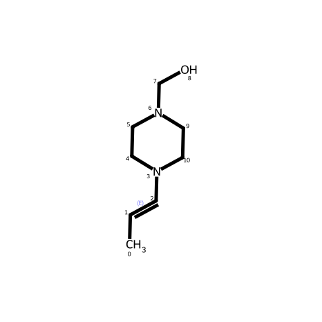 C/C=C/N1CCN(CO)CC1